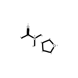 C1CCOC1.CC(=O)N(C)C